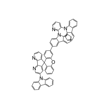 c1ccc2c(c1)Oc1cc(-c3ccc4c(c3)c3ccccc3n4-c3ncccc3-n3c4ccccc4c4ccccc43)ccc1C21c2cccnc2-c2ncc(-n3c4ccccc4c4ccccc43)cc21